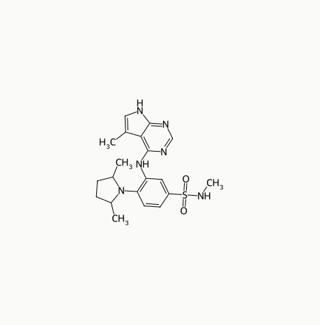 CNS(=O)(=O)c1ccc(N2C(C)CCC2C)c(Nc2ncnc3[nH]cc(C)c23)c1